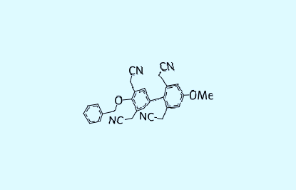 COc1cc(CC#N)c(-c2cc(CC#N)c(OCc3ccccc3)c(CC#N)c2)c(CC#N)c1